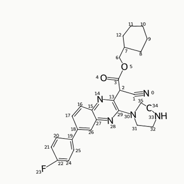 N#CC(C(=O)OCC1CCCCC1)c1nc2ccc(-c3ccc(F)cc3)cc2nc1N1CCNCC1